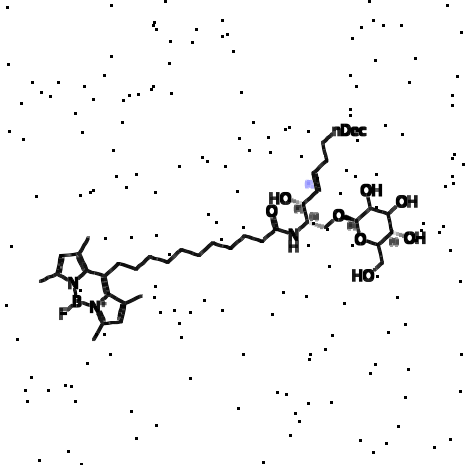 CCCCCCCCCCCC/C=C/[C@@H](O)[C@H](CO[C@@H]1OC(CO)[C@@H](O)C(O)C1O)NC(=O)CCCCCCCCCCC1=C2C(C)=CC(C)=[N+]2B(F)n2c(C)cc(C)c21